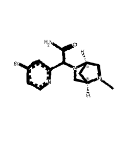 CN1C[C@H]2C[C@@H]1CN2C(C(N)=O)c1cc(Br)ccn1